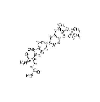 CN(Cc1ccnc(-c2ccc3c(c2)CN([C@@H](CCC(=O)O)C(N)=O)C3=O)c1)C(=O)OC(C)(C)C